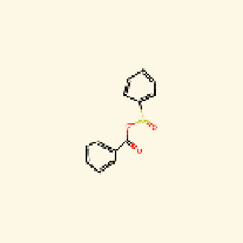 O=C(OS(=O)c1ccccc1)c1ccccc1